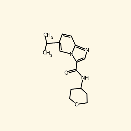 CC(C)c1ccc2ncc(C(=O)NC3CCOCC3)n2c1